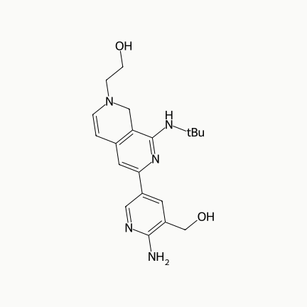 CC(C)(C)Nc1nc(-c2cnc(N)c(CO)c2)cc2c1CN(CCO)C=C2